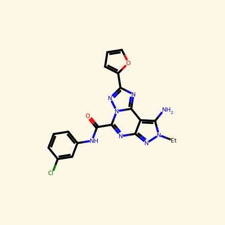 CCn1nc2nc(C(=O)Nc3cccc(Cl)c3)n3nc(-c4ccco4)nc3c2c1N